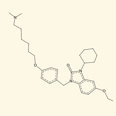 CCOc1ccc2c(c1)n(C1CCCCC1)c(=O)n2Cc1ccc(OCCCCCCN(C)C)cc1